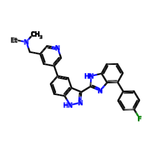 CCN(C)Cc1cncc(-c2ccc3[nH]nc(-c4nc5c(-c6ccc(F)cc6)cccc5[nH]4)c3c2)c1